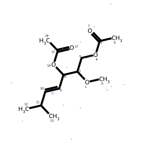 COC(COC(C)=O)C(/C=C/C(C)C)OC(C)=O